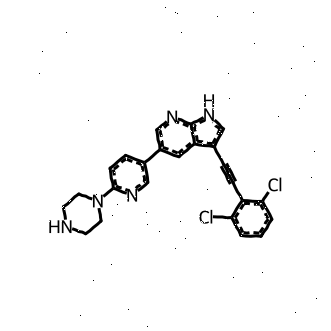 Clc1cccc(Cl)c1C#Cc1c[nH]c2ncc(-c3ccc(N4CCNCC4)nc3)cc12